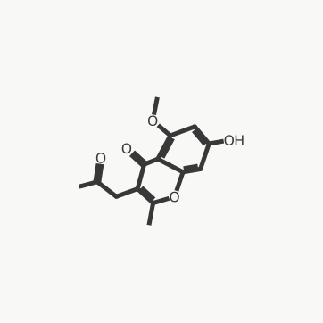 COc1cc(O)cc2oc(C)c(CC(C)=O)c(=O)c12